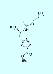 C=CCOC(=O)N[C@@H](Cc1cn(C(=O)OC(C)(C)C)cn1)C(=O)O